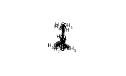 COc1cc(OC)cc(-c2cc3cnc(NCCCCNC(=O)OC(C)(C)C)nc3nc2NC(=O)NC(C)(C)C)c1